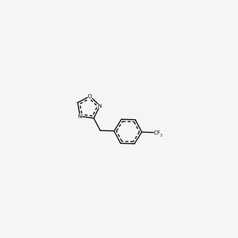 FC(F)(F)c1ccc(Cc2n[c]on2)cc1